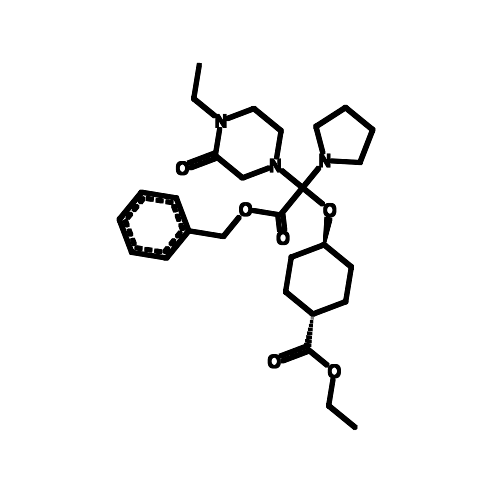 CCOC(=O)[C@H]1CC[C@H](OC(C(=O)OCc2ccccc2)(N2CCCC2)N2CCN(CC)C(=O)C2)CC1